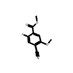 COC(=O)c1cc(OC)c(C#N)cc1F